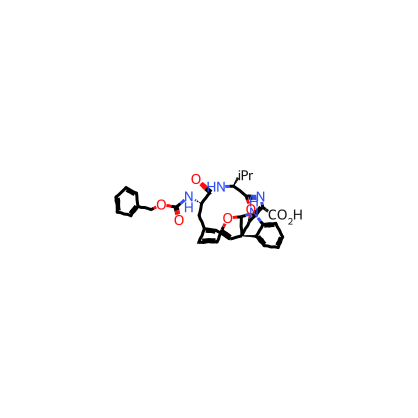 CC(C)[C@@H]1NC(=O)[C@@H](NC(=O)OCc2ccccc2)Cc2ccc3c(c2)[C@@]2(c4ccccc4NC2O3)c2oc1nc2C(=O)O